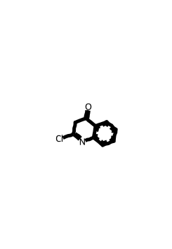 O=C1CC(Cl)=Nc2ccccc21